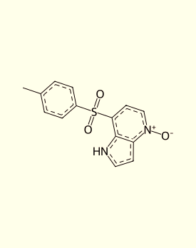 Cc1ccc(S(=O)(=O)c2cc[n+]([O-])c3cc[nH]c23)cc1